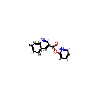 O=C(Oc1ccccn1)c1cnc2ccccc2c1